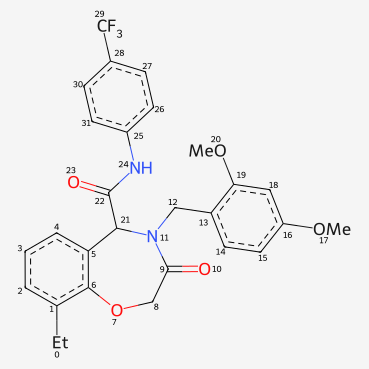 CCc1cccc2c1OCC(=O)N(Cc1ccc(OC)cc1OC)C2C(=O)Nc1ccc(C(F)(F)F)cc1